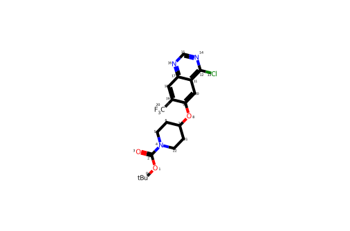 CC(C)(C)OC(=O)N1CCC(Oc2cc3c(Cl)ncnc3cc2C(F)(F)F)CC1